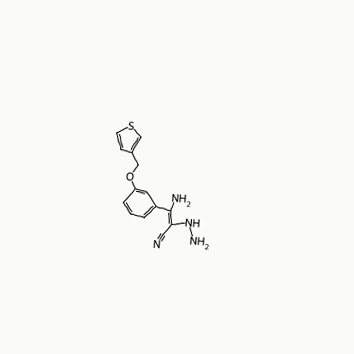 N#C/C(NN)=C(/N)c1cccc(OCc2ccsc2)c1